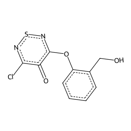 O=c1c(Cl)nsnc1Oc1ccccc1CO